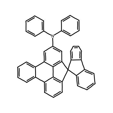 c1ccc(N(c2ccccc2)c2cc3c4c(c2)c2ccccc2c2cccc(c24)C32c3ccccc3-c3ccccc32)cc1